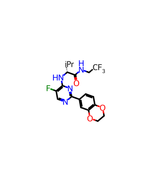 CC(C)[C@@H](Nc1nc(-c2ccc3c(c2)OCCO3)ncc1F)C(=O)NCC(F)(F)F